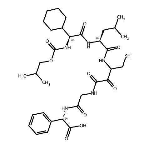 CC(C)COC(=O)N[C@H](C(=O)N[C@@H](CC(C)C)C(=O)NC(CS)C(=O)C(=O)NCC(=O)N[C@H](C(=O)O)c1ccccc1)C1CCCCC1